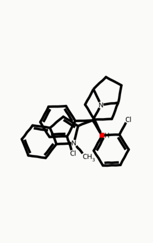 Cn1c(C2(O)CC3CCC(C2)N3C(c2ccccc2Cl)c2ccccc2Cl)cc2ccccc21